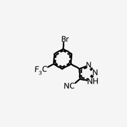 N#Cc1[nH]nnc1-c1cc(Br)cc(C(F)(F)F)c1